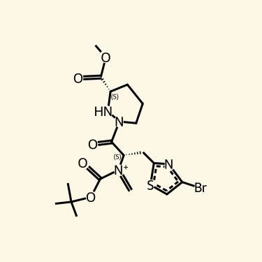 C=[N+](C(=O)OC(C)(C)C)[C@@H](Cc1nc(Br)cs1)C(=O)N1CCC[C@@H](C(=O)OC)N1